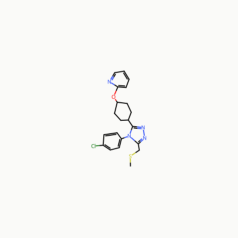 CSCc1nnc(C2CCC(Oc3ccccn3)CC2)n1-c1ccc(Cl)cc1